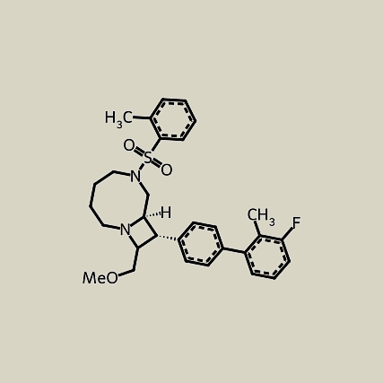 COCC1[C@@H](c2ccc(-c3cccc(F)c3C)cc2)[C@@H]2CN(S(=O)(=O)c3ccccc3C)CCCCN12